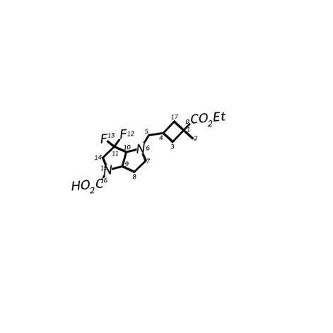 CCOC(=O)C1(C)CC(CN2CCC3C2C(F)(F)CN3C(=O)O)C1